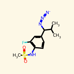 CC(C)C(N=[N+]=[N-])c1ccc(NS(C)(=O)=O)c(F)c1